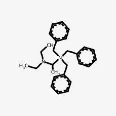 CCN(CC)C(C)[N+](Cc1ccccc1)(Cc1ccccc1)Cc1ccccc1